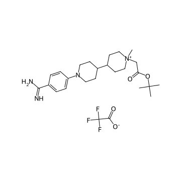 CC(C)(C)OC(=O)C[N+]1(C)CCC(C2CCN(c3ccc(C(=N)N)cc3)CC2)CC1.O=C([O-])C(F)(F)F